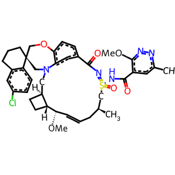 COc1nnc(C)cc1C(=O)N[S@@]1(=O)=NC(=O)c2ccc3c(c2)N(C[C@@H]2CC[C@H]2[C@@H](OC)/C=C/C[C@H](C)C1)C[C@@]1(CCCc2cc(Cl)ccc21)CO3